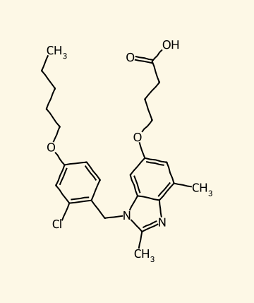 CCCCCOc1ccc(Cn2c(C)nc3c(C)cc(OCCCC(=O)O)cc32)c(Cl)c1